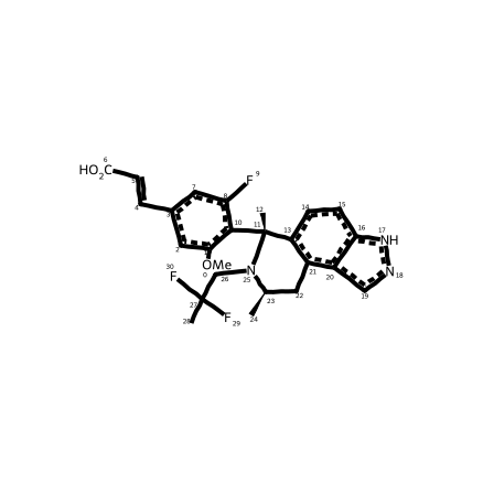 COc1cc(/C=C/C(=O)O)cc(F)c1[C@]1(C)c2ccc3[nH]ncc3c2C[C@@H](C)N1CC(C)(F)F